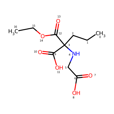 CCCC(NCC(=O)O)(C(=O)O)C(=O)OCC